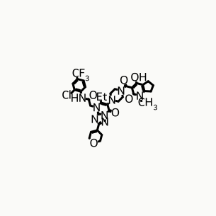 CCc1c(N2CCN(C(=O)c3c(O)c4c(n(C)c3=O)CCC4)CC2)c(=O)n2nc(C3=CCOCC3)nc2n1CC(=O)Nc1ccc(C(F)(F)F)cc1Cl